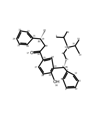 CC(C)N(CC[C@H](c1ccccc1)c1cc(C(=O)C[C@@H](C)c2ccccc2)ccc1O)C(C)C